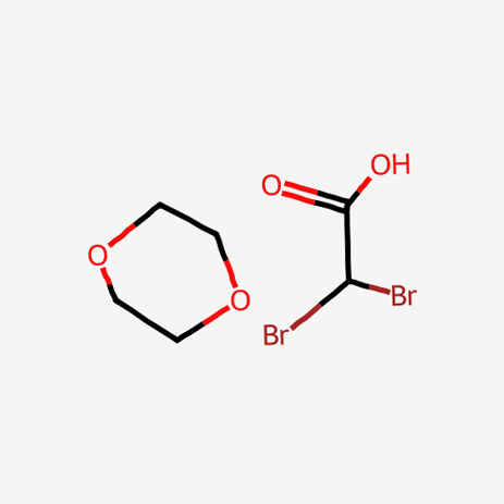 C1COCCO1.O=C(O)C(Br)Br